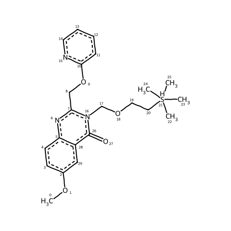 COc1ccc2nc(COc3ccccn3)n(COCC[SH](C)(C)(C)C)c(=O)c2c1